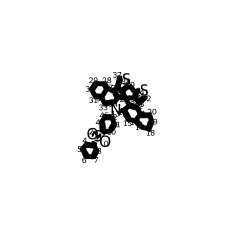 O=S(=O)(c1ccccc1)c1ccc(N2c3cc4ccccc4cc3C3(c4cc5ccccc5cc42)c2ccsc2-c2sccc23)cc1